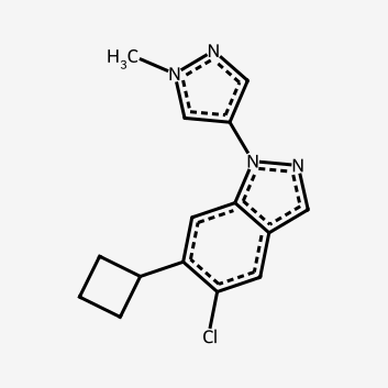 Cn1cc(-n2ncc3cc(Cl)c(C4CCC4)cc32)cn1